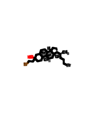 CC(C)CCC[C@@H](C)[C@H]1CC[C@H]2[C@@H]3CC=C4CC(O)(CCBr)CC[C@]4(C)[C@H]3CC[C@]12C